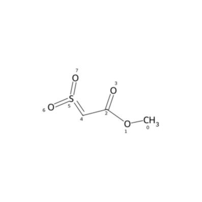 COC(=O)C=S(=O)=O